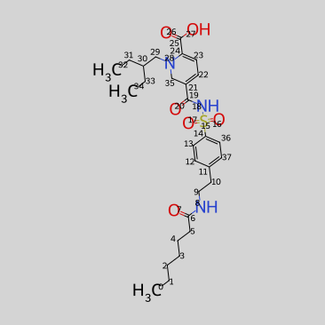 CCCCCCC(=O)NCCc1ccc(S(=O)(=O)NC(=O)C2=CC=C(C(=O)O)N(CC(CC)CC)C2)cc1